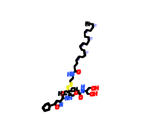 CC/C=C\C/C=C\C/C=C\C/C=C\C/C=C\C/C=C\CCC(=O)NCCSSC(C)(C)[C@@H](COC(=O)NC(CO)CO)NC(=O)c1cc(-c2ccccc2)on1